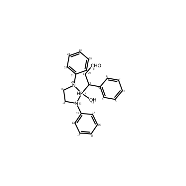 O=CCC(c1ccccc1)[PH]1(O)N(c2ccccc2)CCN1c1ccccc1